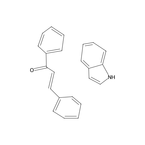 O=C(C=Cc1ccccc1)c1ccccc1.c1ccc2[nH]ccc2c1